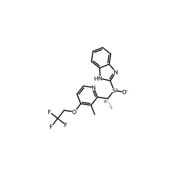 Cc1c(OCC(F)(F)F)ccnc1[C@@H](C)[S+]([O-])c1nc2ccccc2[nH]1